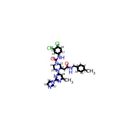 Cc1ccc(CNC(=O)CC2CN(C(=O)Nc3ccc(Cl)c(Cl)c3)CCN2c2cc(C)nc(-n3ccnc3)n2)cc1